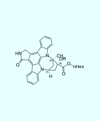 CCCCCCOC(=O)[C@@]1(O)C[C@@H]2C[C@@]1(C)n1c3ccccc3c3c4c(c5c6ccccc6n2c5c31)C(=O)NC4